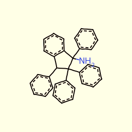 NC1(c2ccccc2)c2ccccc2C(c2ccccc2)C1(c1ccccc1)c1ccccc1